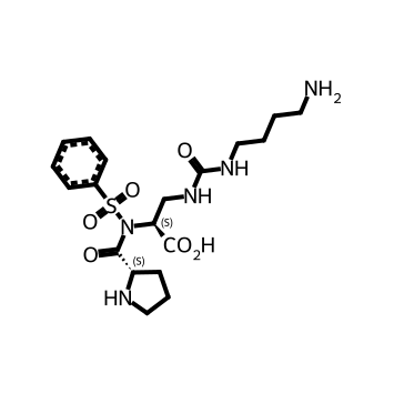 NCCCCNC(=O)NC[C@@H](C(=O)O)N(C(=O)[C@@H]1CCCN1)S(=O)(=O)c1ccccc1